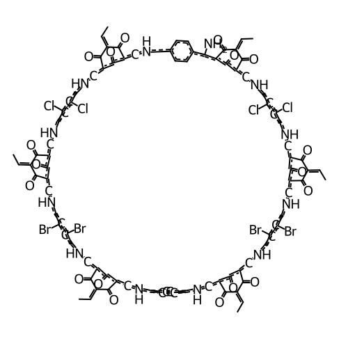 C/C=C1/C(=O)c2c[nH]c3ccc(cc3)[nH]cc3c(=O)c(c[nH]c4cc(Br)c(cc4Br)[nH]cc4c(=O)c(c[nH]c5cc(Cl)c(cc5Cl)[nH]cc5c(=O)c(c(N)c6ccc(cc6)[nH]cc6c(=O)c(c[nH]c7cc(Cl)c(cc7Cl)[nH]cc7c(=O)c(c[nH]c8cc(Br)c(cc8Br)[nH]cc(c2=O)C1=O)C(=O)/C(=C/C)C7=O)C(=O)/C(=C/C)C6=O)C(=O)/C(=C/C)C5=O)C(=O)/C(=C/C)C4=O)C(=O)/C(=C/C)C3=O